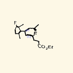 C=C(C)/C=C(\C=C(/F)CCC(=O)OCC)c1c(C)ccc(F)c1C